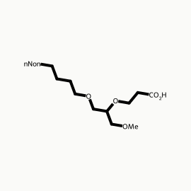 CCCCCCCCCCCCCOCC(COC)OCCC(=O)O